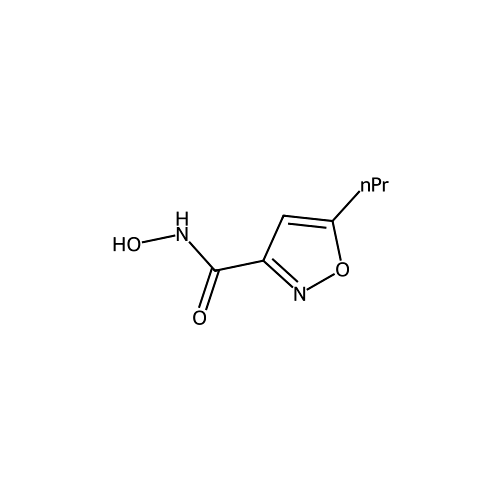 CCCc1cc(C(=O)NO)no1